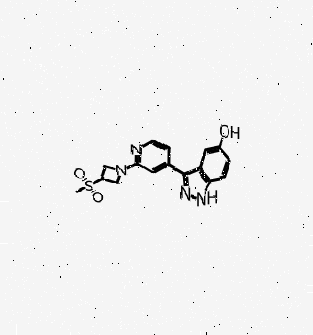 CS(=O)(=O)C1CN(c2cc(-c3n[nH]c4ccc(O)cc34)ccn2)C1